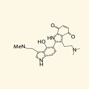 CNCCc1c[nH]c2ccc(-c3[nH]c4c(c3CCN(C)C)C(=O)C=CC4=O)c(O)c12